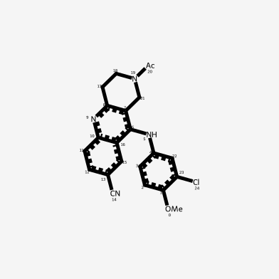 COc1ccc(Nc2c3c(nc4ccc(C#N)cc24)CCN(C(C)=O)C3)cc1Cl